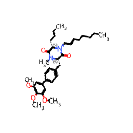 CCCCCC=CCN1C(=O)[C@H](Cc2ccc(-c3cc(OC)c(OC)c(OC)c3)cc2)N(C)C(=O)[C@@H]1CCCC